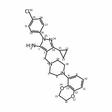 Nc1c(CN2CCN(c3cccc4c3OCCO4)CC2)c(C2CC2)nn1-c1ccc(Cl)cc1